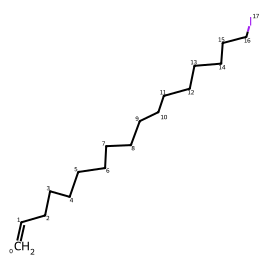 C=CCCCCCCCCCCCCCCCI